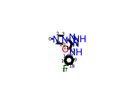 CN1CCN(c2n[nH]nc2C(=O)Nc2ccc(F)cc2)CC1